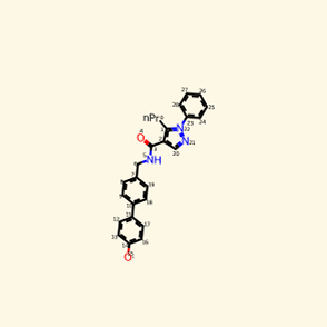 CCCc1c(C(=O)NCc2ccc(-c3ccc([O])cc3)cc2)cnn1-c1ccccc1